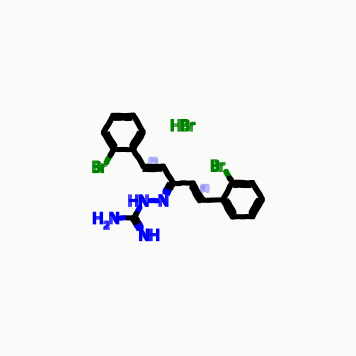 Br.N=C(N)NN=C(/C=C/c1ccccc1Br)/C=C/c1ccccc1Br